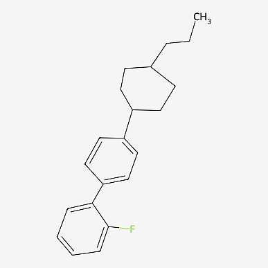 CCCC1CCC(c2ccc(-c3ccccc3F)cc2)CC1